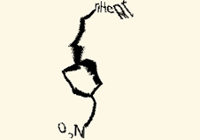 CCCCCCCCCCc1ccc(C[N+](=O)[O-])cc1